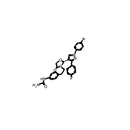 NC(=O)Nc1ccc(CCN2C(=O)CO[C@H]2c2cn(-c3ccc(Br)cc3)nc2-c2ccc(F)cc2)cc1